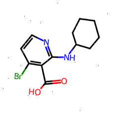 O=C(O)c1c(Br)ccnc1NC1CCCCC1